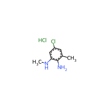 CNc1cc(Cl)cc(C)c1N.Cl